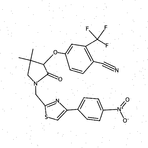 CC1(C)CN(Cc2nc(-c3ccc([N+](=O)[O-])cc3)cs2)C(=O)C1Oc1ccc(C#N)c(C(F)(F)F)c1